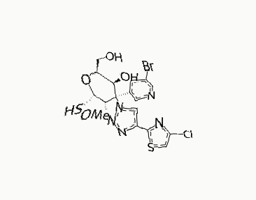 CO[C@@H]1[C@H](S)O[C@@H](CO)[C@@H](O)[C@@]1(c1cncc(Br)c1)n1cc(-c2nc(Cl)cs2)nn1